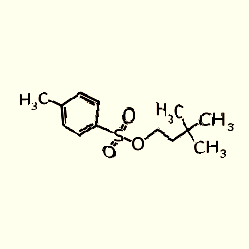 Cc1ccc(S(=O)(=O)OCCC(C)(C)C)cc1